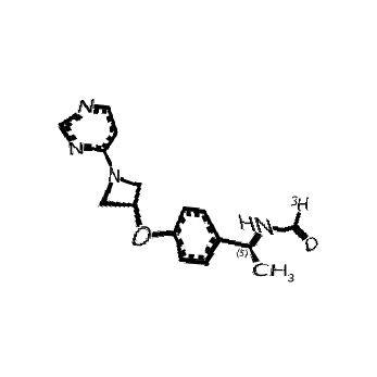 [3H]C(=O)N[C@@H](C)c1ccc(OC2CN(c3ccncn3)C2)cc1